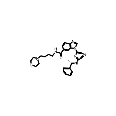 C[C@H](Nc1cncc(-n2cnc3ccc(C(=O)NCCCCN4CCOCC4)cc32)n1)c1ccccc1